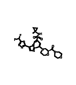 CC1(NS(=O)(=O)c2cc(N3CCO[C@H](C(=O)N4CCOCC4)C3)c3ncc(-c4nnc(C(F)F)s4)n3c2)CC1